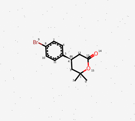 CC1(C)C[C@@H](c2ccc(Br)cc2)CC(=O)O1